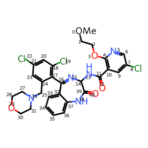 COCCOc1ncc(Cl)cc1C(=O)NC1N=C(c2c(Cl)cc(Cl)cc2CN2CCOCC2)c2ccccc2NC1=O